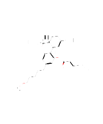 CC1=C[C@H]2c3c(OC(=O)C=CC(=O)O)cc(CCCCCO[N+](=O)[O-])cc3OC(C)(C)[C@@H]2CC1